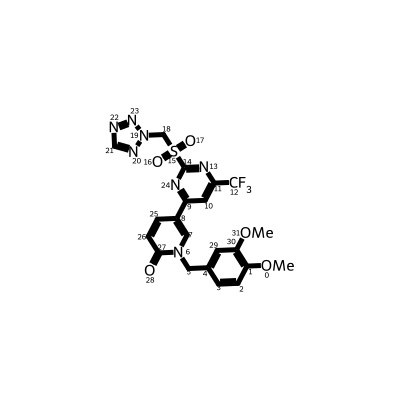 COc1ccc(Cn2cc(-c3cc(C(F)(F)F)nc(S(=O)(=O)Cn4ncnn4)n3)ccc2=O)cc1OC